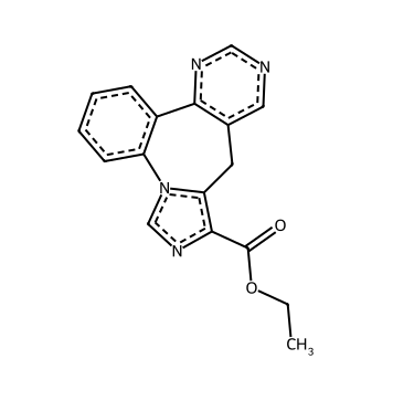 CCOC(=O)c1ncn2c1Cc1cncnc1-c1ccccc1-2